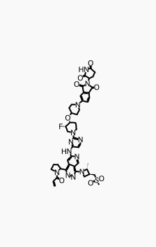 C=CC(=O)N1CCCC1c1nnc(N2C[C@H](CS(C)(=O)=O)[C@H]2C)c2cnc(Nc3ccnc(N4CC[C@@H](OC5CCN(c6ccc7c(c6)C(=O)N(C6CCC(=O)NC6=O)C7=O)CC5)[C@@H](F)C4)n3)cc12